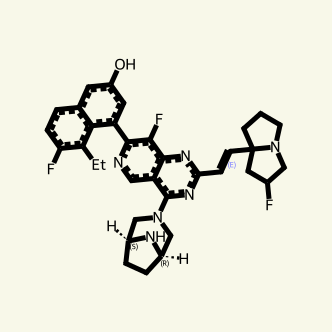 CCc1c(F)ccc2cc(O)cc(-c3ncc4c(N5C[C@H]6CC[C@@H](C5)N6)nc(/C=C/C56CCCN5CC(F)C6)nc4c3F)c12